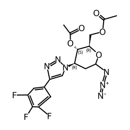 CC(=O)OC[C@H]1OC(N=[N+]=[N-])C[C@@H](n2cc(-c3cc(F)c(F)c(F)c3)nn2)[C@@H]1OC(C)=O